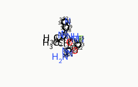 CC(C)(C)c1cc(NC(=O)Nc2cc(Oc3ccnc(N)n3)ccc2F)n(-c2ccc3ncccc3c2)n1